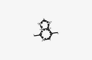 Cc1cnc(C)n2ncnc12